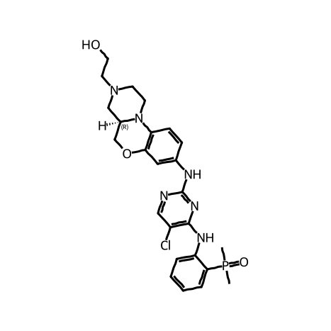 CP(C)(=O)c1ccccc1Nc1nc(Nc2ccc3c(c2)OC[C@H]2CN(CCO)CCN32)ncc1Cl